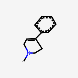 [CH2]N1CC=C(c2ccccc2)CC1